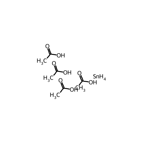 CC(=O)O.CC(=O)O.CC(=O)O.CC(=O)O.[SnH4]